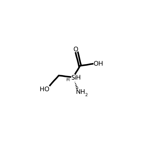 N[Si@H](CO)C(=O)O